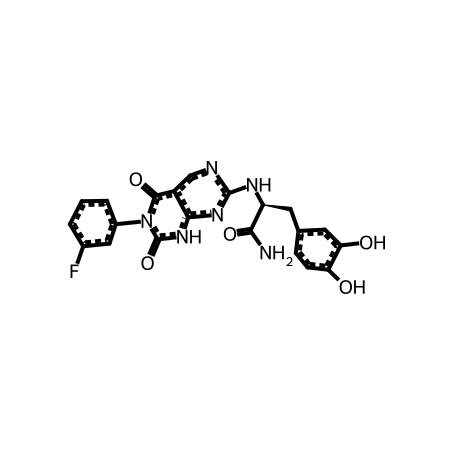 NC(=O)[C@H](Cc1ccc(O)c(O)c1)Nc1ncc2c(=O)n(-c3cccc(F)c3)c(=O)[nH]c2n1